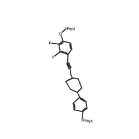 CCCCCCCc1ccc(C2CCC(C#Cc3ccc(OCCCCC)c(F)c3F)CC2)cc1